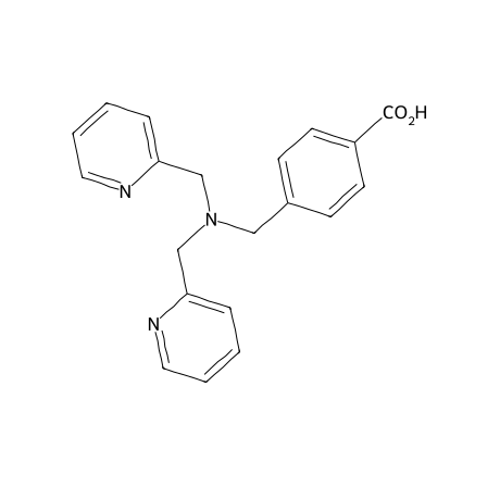 O=C(O)c1ccc(CN(Cc2ccccn2)Cc2ccccn2)cc1